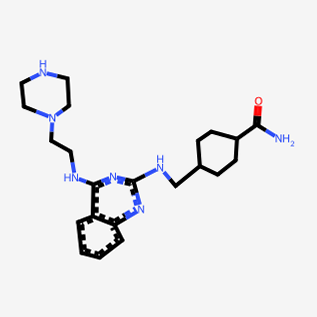 NC(=O)C1CCC(CNc2nc(NCCN3CCNCC3)c3ccccc3n2)CC1